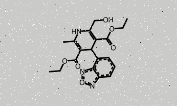 CCOC(=O)C1=C(C)NC(CO)=C(C(=O)OCC)C1c1cccc2nonc12